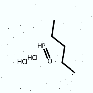 CCCCC.Cl.Cl.O=P